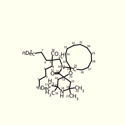 CCCCCCCCCCCCCCC(CCCCCCCCCCCC)(CN1C(=O)C2(CC(C)(C)NC(C)(C)C2)OC12CCCCCCCCCCC2)C(=O)O